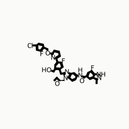 Cc1n[nH]c2c(F)cc(C(=O)Nc3ccc4c(c3)nc(Cc3cc(F)c(-c5cccc(OCc6ccc(Cl)cc6F)n5)cc3CO)n4C[C@@H]3CCO3)cc12